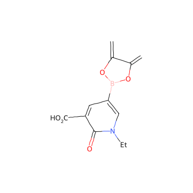 C=C1OB(c2cc(C(=O)O)c(=O)n(CC)c2)OC1=C